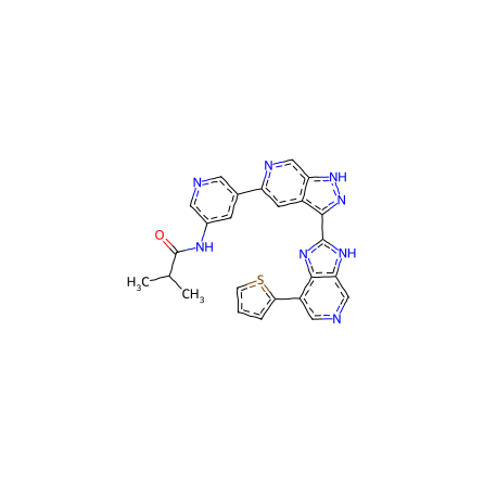 CC(C)C(=O)Nc1cncc(-c2cc3c(-c4nc5c(-c6cccs6)cncc5[nH]4)n[nH]c3cn2)c1